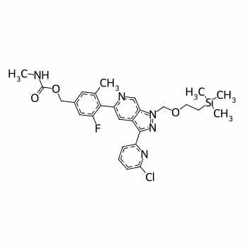 CNC(=O)OCc1cc(C)c(-c2cc3c(-c4cccc(Cl)n4)nn(COCC[Si](C)(C)C)c3cn2)c(F)c1